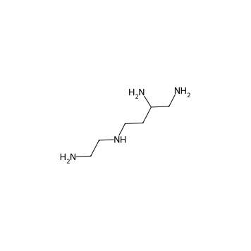 NCCNCCC(N)CN